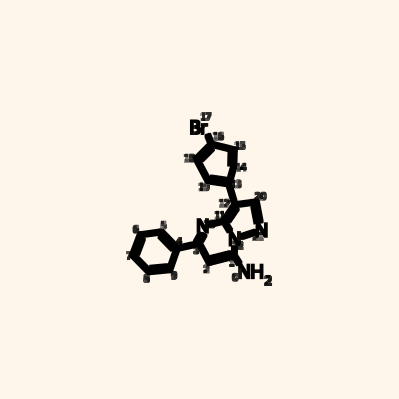 Nc1cc(-c2ccccc2)nc2c(-c3ccc(Br)cc3)cnn12